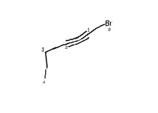 BrC#CCI